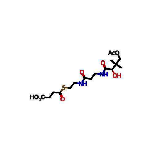 CC(=O)OCC(C)(C)[C@@H](O)C(=O)NCCC(=O)NCCSC(=O)CCC(=O)O